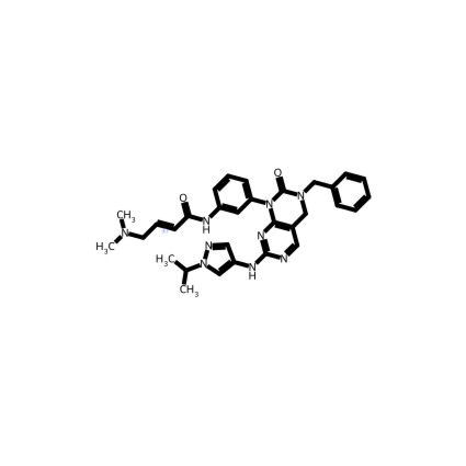 CC(C)n1cc(Nc2ncc3c(n2)N(c2cccc(NC(=O)/C=C/CN(C)C)c2)C(=O)N(Cc2ccccc2)C3)cn1